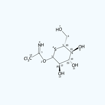 N=C(OC1S[C@H](CO)[C@@H](O)[C@H](O)[C@H]1O)C(Cl)(Cl)Cl